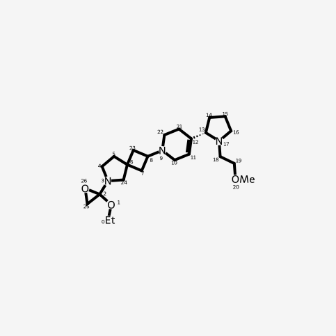 CCOC1(N2CCC3(CC(N4CC=C([C@@H]5CCCN5CCOC)CC4)C3)C2)CO1